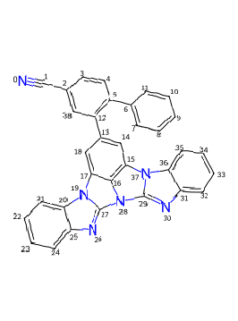 N#Cc1ccc(-c2ccccc2)c(-c2cc3c4c(c2)n2c5ccccc5nc2n4c2nc4ccccc4n32)c1